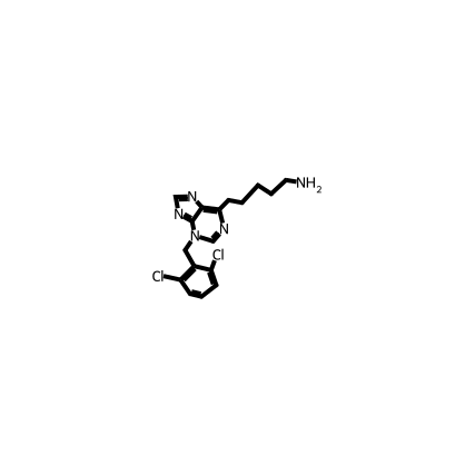 NCCCCCc1ncn(Cc2c(Cl)cccc2Cl)c2ncnc1-2